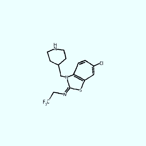 FC(F)(F)CN=c1sc2cc(Cl)ccc2n1CC1CCNCC1